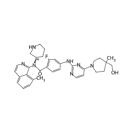 Cc1cccc2ccnc(N(C(=O)c3ccc(Nc4nccc(N5CCC(C)(CO)CC5)n4)cc3F)[C@@H]3CCCNC3)c12